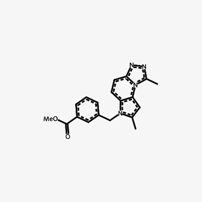 COC(=O)c1cccc(Cn2c(C)cc3c2ccc2nnc(C)n23)c1